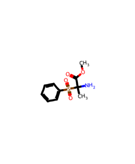 COC(=O)C(C)(N)S(=O)(=O)c1ccccc1